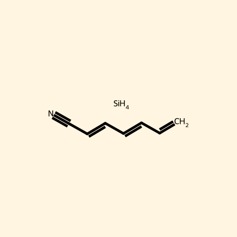 C=CC=CC=CC#N.[SiH4]